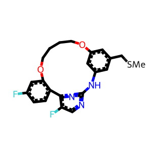 CSCc1cc2cc(c1)OCCCCOc1cc(F)ccc1-c1nc(ncc1F)N2